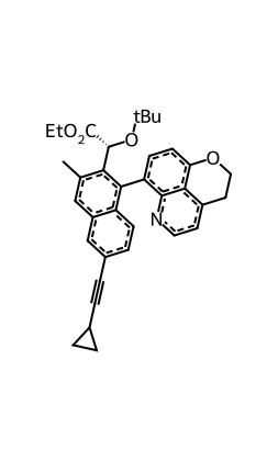 CCOC(=O)[C@H](OC(C)(C)C)c1c(C)cc2cc(C#CC3CC3)ccc2c1-c1ccc2c3c(ccnc13)CCO2